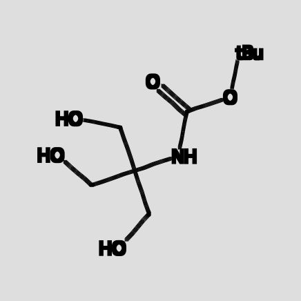 CC(C)(C)OC(=O)NC(CO)(CO)CO